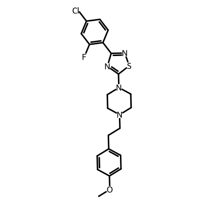 COc1ccc(CCN2CCN(c3nc(-c4ccc(Cl)cc4F)ns3)CC2)cc1